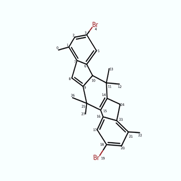 Cc1cc(Br)cc2c1C=C1C2C(C)(C)C2=C(c3cc(Br)cc(C)c3C2)C1(C)C